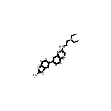 CCN(CC)CCNc1cnc2ccc(-c3ccc4oc(N)nc4c3)cc2n1